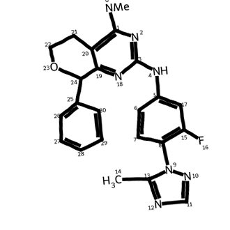 CNc1nc(Nc2ccc(-n3ncnc3C)c(F)c2)nc2c1CCOC2c1ccccc1